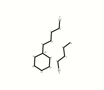 [Li][CH2]CCC.[Li][CH2]CCCC1CCCCC1